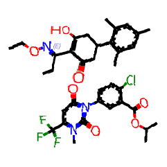 CC(C)OC(=O)c1cc(-n2c(=O)cc(C(F)(F)F)n(C)c2=O)ccc1Cl.CCO/N=C(\CC)C1=C(O)CC(c2c(C)cc(C)cc2C)CC1=O